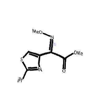 CO/N=C(/C(=O)OC)c1csc(C(C)C)n1